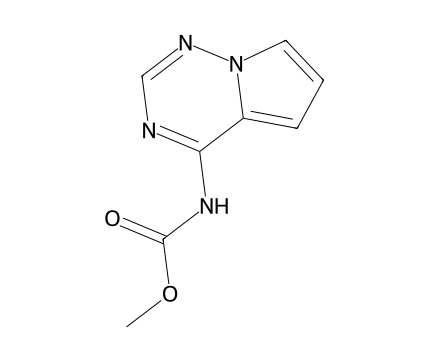 COC(=O)Nc1ncnn2cccc12